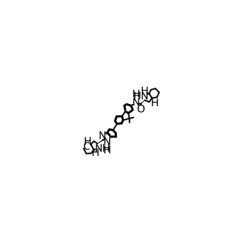 CC1(C)c2cc(NC(=O)[C@@H]3C[C@@H]4CCCC[C@@H]4N3)ccc2-c2ccc(-c3ccc4[nH]c([C@@H]5C[C@@H]6CCCC[C@@H]6N5)nc4c3)cc21